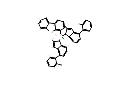 CCc1ccccc1-c1cccc2c1C=C(C(C)(C)C)[CH]2[Hf]([Cl])([Cl])([c]1cccc2c1[SiH2]c1ccccc1-2)[CH]1C(C(C)(C)C)=Cc2c(-c3ccccc3CC)cccc21